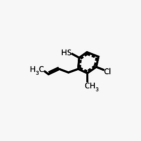 CC=CCc1c(S)ccc(Cl)c1C